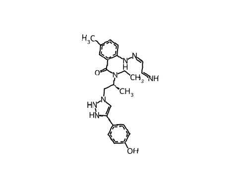 CCN(C(=O)c1cc(C)ccc1N/N=C\C=N)[C@@H](C)CN1C=C(c2ccc(O)cc2)NN1